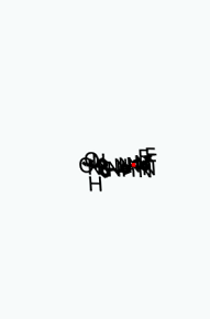 COC(=O)Nc1nccc2c(NCc3ccc(N4CCn5c(nnc5C(F)(F)F)C4)nn3)cccc12